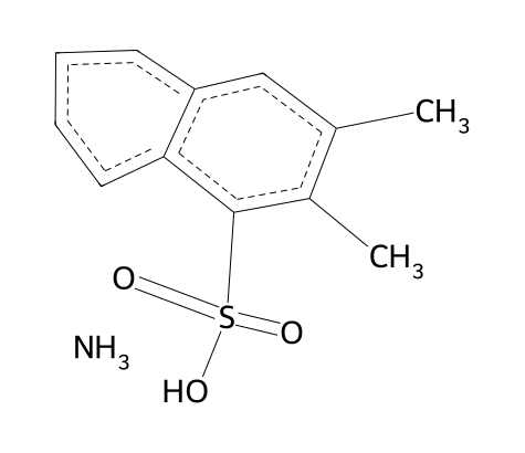 Cc1cc2ccccc2c(S(=O)(=O)O)c1C.N